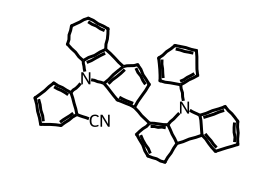 N#Cc1ccccc1-n1c2c(c3ccc(C4=C5C(CC=C4)c4ccccc4N5c4ccccc4)cc31)C=CCC2